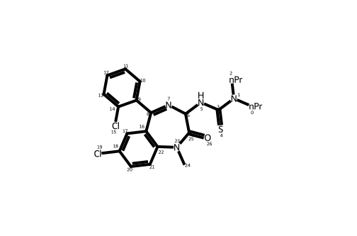 CCCN(CCC)C(=S)NC1N=C(c2ccccc2Cl)c2cc(Cl)ccc2N(C)C1=O